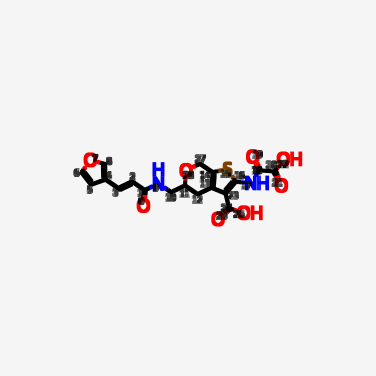 O=C(C=Cc1ccoc1)NCC1Cc2c(sc(NC(=O)C(=O)O)c2C(=O)O)CO1